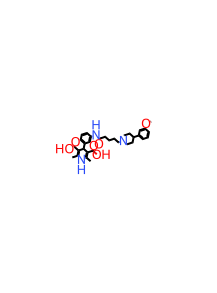 COc1cccc(C2CCN(CCCCC(=O)Nc3cccc(C4C(C(=O)O)=C(C)NC(C)=C4C(=O)O)c3)CC2)c1